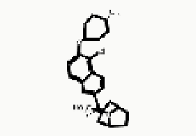 C[C@H](c1ccc2c(Cl)c(O[C@H]3CC[C@@H](C(F)(F)F)CC3)ccc2c1)N1C2CCC1CC(C(=O)O)C2